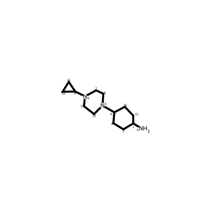 NC1CCC(N2CCN(C3CC3)CC2)CC1